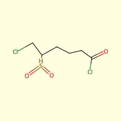 O=C(Cl)CCCC(CCl)[SH](=O)=O